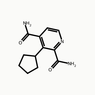 NC(=O)c1ccnc(C(N)=O)c1C1CCCC1